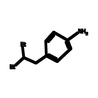 CCC(CC)Cc1ccc(N)cc1